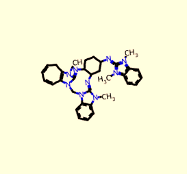 CN1C2=C(C=CC=CC2)N2CN3/C(=N/C4CC(N=c5n(C)c6ccccc6n5C)CCC4/N=C\12)N(C)c1ccccc13